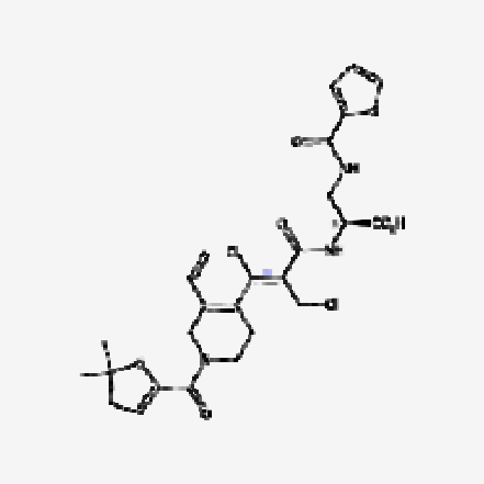 C=CC1=C(/C(Cl)=C(\CCl)C(=O)N[C@@H](CNC(=O)c2cccs2)C(=O)O)CCN(C(=O)C2=CCC(C)(C)S2)C1